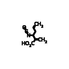 C=CCC(N=C=O)C(=C)C(=O)O